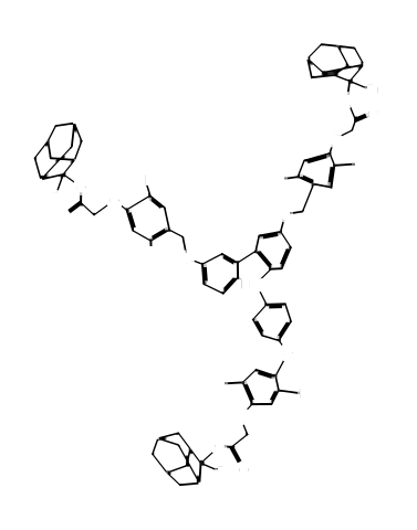 CCC1(OC(=O)COc2cc(I)c(COc3ccc4c(c3)-c3cc(OCc5cc(I)c(OCC(=O)OC6(CC)C7CC8CC(C7)CC6C8)cc5I)ccc3[SH]4c3ccc(Oc4cc(I)c(OCC(=O)OC5(CC)C6CC7CC(C6)CC5C7)cc4I)cc3)cc2I)C2CC3CC(C2)CC1C3